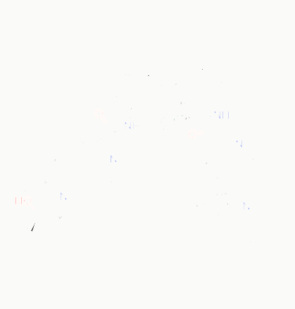 C[C@@H]1CCCCN1Cc1cnc(C(=O)Nc2cccc(-c3cccc(NC(=O)c4cc5c(cn4)CN(C[C@@H](C)O)CC5)c3Cl)c2Cl)cc1C1CC1